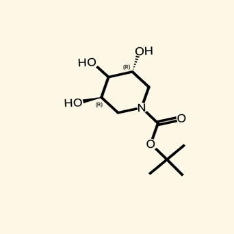 CC(C)(C)OC(=O)N1C[C@@H](O)C(O)[C@H](O)C1